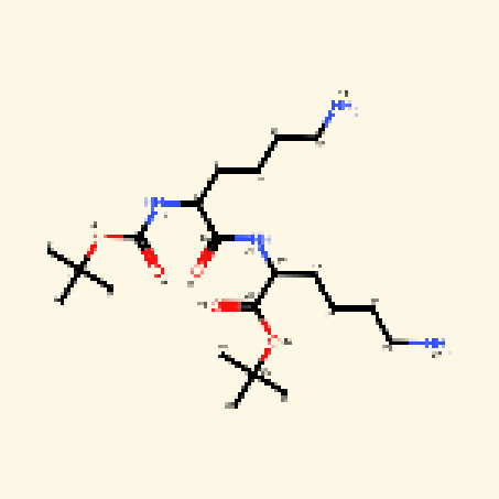 CC(C)(C)OC(=O)NC(CCCCN)C(=O)NC(CCCCN)C(=O)OC(C)(C)C